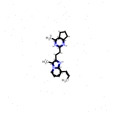 C/C=C\c1cccn2c(C)c(CCc3nc(C)c4c(n3)CCC4)nc12